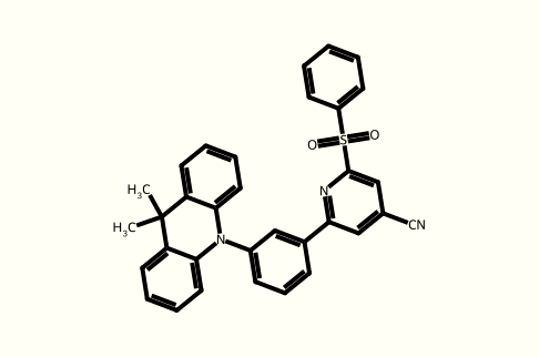 CC1(C)c2ccccc2N(c2cccc(-c3cc(C#N)cc(S(=O)(=O)c4ccccc4)n3)c2)c2ccccc21